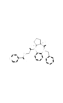 O=C(NCC(=O)N1c2ccccc2N(Cc2ccccc2)C(=O)[C@H]2CCC[C@H]21)c1ccncc1